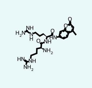 Cc1cc(=O)oc2cc(NC(=O)[C@H](CCCNC(=N)N)NC(=O)[C@@H](N)CCCNC(=N)N)ccc12